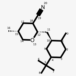 CC1CCC(C(C)(C)C)C[C@H]1C[C@@H]1OC[C@H](C)CC1C#N